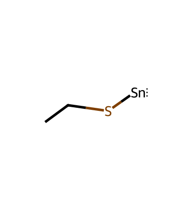 CC[S][Sn]